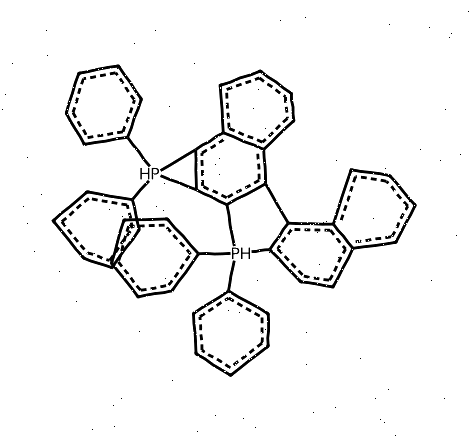 c1ccc([PH]2(c3ccccc3)c3ccc4ccccc4c3-c3c2c2c(c4ccccc34)[PH]2(c2ccccc2)c2ccccc2)cc1